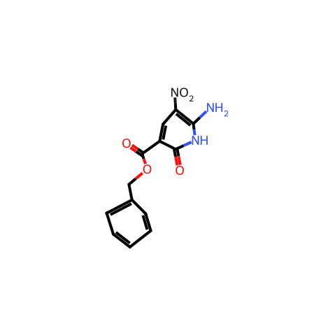 Nc1[nH]c(=O)c(C(=O)OCc2ccccc2)cc1[N+](=O)[O-]